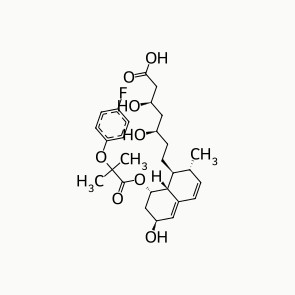 C[C@@H]1C=CC2=C[C@@H](O)C[C@H](OC(=O)C(C)(C)Oc3ccc(F)cc3)[C@@H]2[C@H]1CC[C@@H](O)C[C@@H](O)CC(=O)O